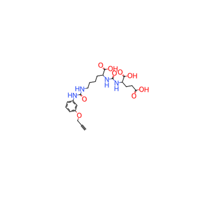 C#CCOc1cccc(NC(=O)NCCCCC(NC(=O)NC(CCC(=O)O)C(=O)O)C(=O)O)c1